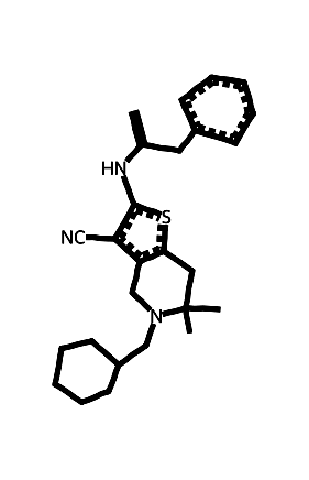 C=C(Cc1ccccc1)Nc1sc2c(c1C#N)CN(CC1CCCCC1)C(C)(C)C2